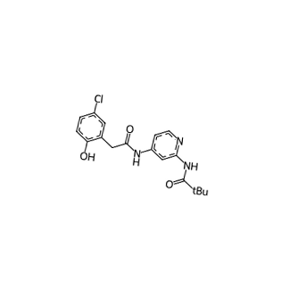 CC(C)(C)C(=O)Nc1cc(NC(=O)Cc2cc(Cl)ccc2O)ccn1